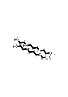 CCCOCCCNCCO.CCOCCCNCCO